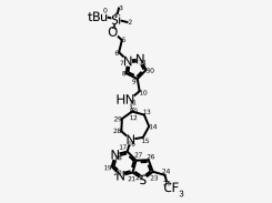 CC(C)(C)[Si](C)(C)OCCn1cc(CN[C@@H]2CCCN(c3ncnc4sc(CC(F)(F)F)cc34)CC2)cn1